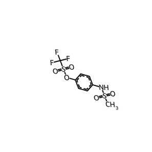 CS(=O)(=O)Nc1ccc(OS(=O)(=O)C(F)(F)F)cc1